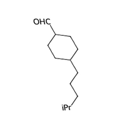 CC(C)CCCC1CCC(C=O)CC1